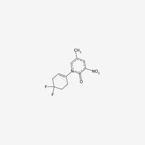 Cc1cc([N+](=O)[O-])c(=O)n(C2=CCC(F)(F)CC2)c1